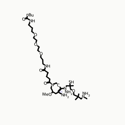 CCCCC(=O)NCCCOCCOCCOCCCNC(=O)CCCC(=O)N1CC/C(N(N)CC(C)(S)COCC(C)(C)CN(C)N)=C(/N)CC(OC)C1